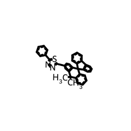 CC1(C)c2ccccc2C2(c3ccccc3-c3ccccc32)c2ccc(-c3nnc(-c4ccccc4)s3)cc21